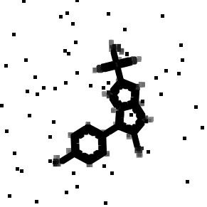 NS(=O)(=O)c1nn2c(-c3ccc(Br)cc3)c(Br)nc2s1